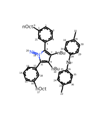 CCCCCCCCc1cccc(C2=C(CCCC)C(CCCC)=C(c3cccc(CCCCCCCC)c3)[N+]2=[N-])c1.Cc1cc[c]([Ni][c]2ccc(C)cc2)cc1